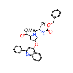 COC(=O)C1CC(Oc2cc(-c3ccccc3)nc3ccccc23)CN1CC(NC(=O)OCc1ccccc1)C(C)C